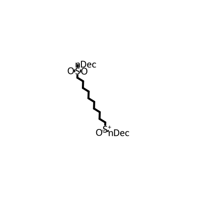 CCCCCCCCCC[S+]([O-])CCCCCCCCCCS(=O)(=O)CCCCCCCCCC